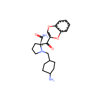 NC(=O)[C@]1(C(=O)C2=COc3ccccc3O2)CCCN1CC1CCC(N)CC1